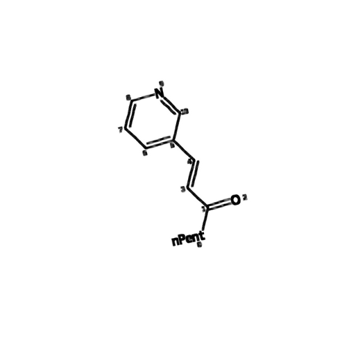 CCCCCC(=O)C=Cc1cccnc1